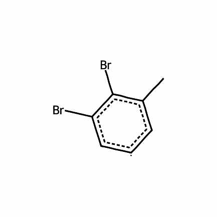 Cc1c[c]cc(Br)c1Br